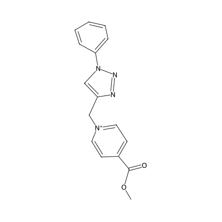 COC(=O)c1cc[n+](Cc2cn(-c3ccccc3)nn2)cc1